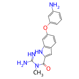 CN(C(=N)N)C(=O)c1cc2ccc(Oc3cccc(N)c3)cc2[nH]1